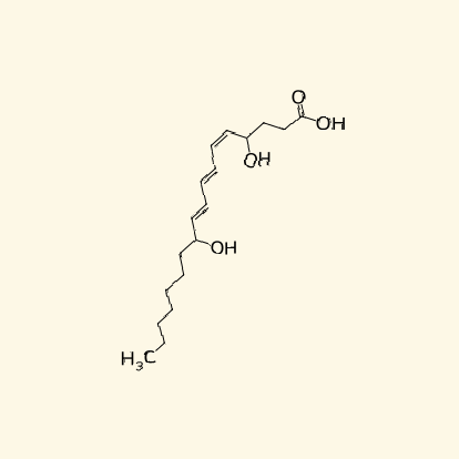 CCCCCCCC(O)/C=C/C=C/C=C\C(O)CCC(=O)O